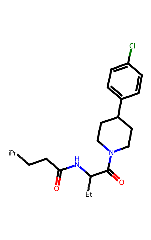 CCC(NC(=O)CCC(C)C)C(=O)N1CCC(c2ccc(Cl)cc2)CC1